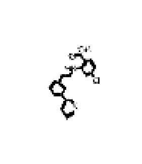 O=C(O)c1ccc(Cl)cc1NCCc1cccc(-c2cccnc2)c1